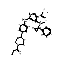 CCC(=O)N1CCC(c2ccc(Nc3cc(N(C)C4(c5ccccc5)CC4)c(C(N)=O)cn3)cc2)CC1